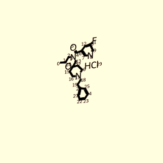 CC1CN(C(=O)c2cncc(F)c2)CC2(CCN(CCc3ccccc3)CC2)O1.Cl